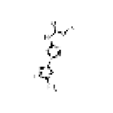 CC(C)(C)OC(=O)Nc1nc(-c2cc(N)[nH]n2)cs1